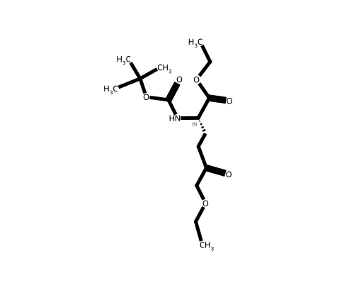 CCOCC(=O)CC[C@H](NC(=O)OC(C)(C)C)C(=O)OCC